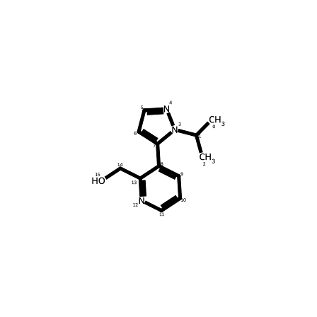 CC(C)n1nccc1-c1cccnc1CO